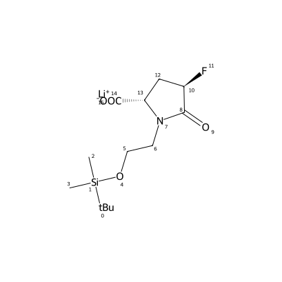 CC(C)(C)[Si](C)(C)OCCN1C(=O)[C@H](F)C[C@H]1C(=O)[O-].[Li+]